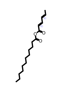 C/C=C/C=C/C(=O)OC(=O)CCCCCCCCCCC